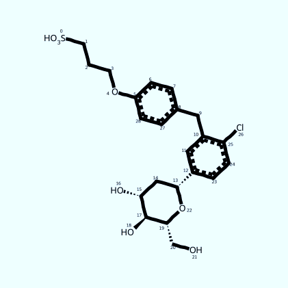 O=S(=O)(O)CCCOc1ccc(Cc2cc([C@H]3C[C@@H](O)[C@H](O)[C@@H](CO)O3)ccc2Cl)cc1